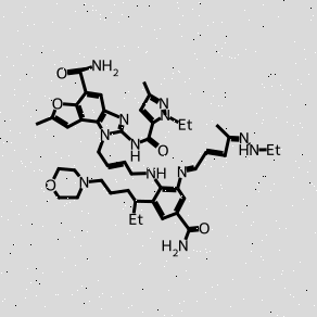 CCN\N=C(C)/C=C/C=N/c1cc(C(N)=O)cc(C(CC)CCCN2CCOCC2)c1NC/C=C/Cn1c(NC(=O)c2cc(C)nn2CC)nc2cc(C(N)=O)c3oc(C)cc3c21